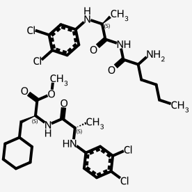 CCCCC(N)C(=O)NC(=O)[C@H](C)Nc1ccc(Cl)c(Cl)c1.COC(=O)[C@H](CC1CCCCC1)NC(=O)[C@H](C)Nc1ccc(Cl)c(Cl)c1